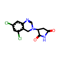 O=C1CC(N2C=Nc3cc(Cl)cc(Cl)c3C2)C(=O)N1